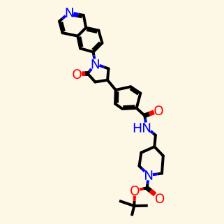 CC(C)(C)OC(=O)N1CCC(CNC(=O)c2ccc(C3CC(=O)N(c4ccc5cnccc5c4)C3)cc2)CC1